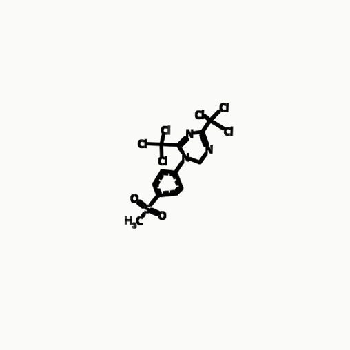 CS(=O)(=O)c1ccc(N2CN=C(C(Cl)(Cl)Cl)N=C2C(Cl)(Cl)Cl)cc1